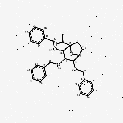 CC(I)C12COC(O1)C(OCc1ccccc1)C(OCc1ccccc1)C2OCc1ccccc1